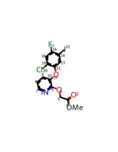 COC(=O)COc1ncccc1Oc1cc(I)c(F)cc1Cl